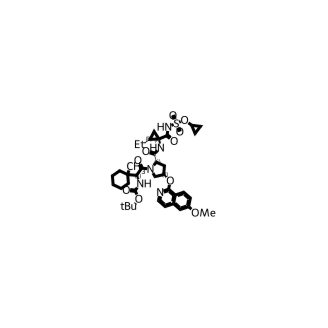 CC[C@@H]1C[C@]1(NC(=O)[C@@H]1C[C@@H](Oc2nccc3cc(OC)ccc23)CN1C(=O)[C@@H](NC(=O)OC(C)(C)C)C1(C)CCCCC1)C(=O)NS(=O)(=O)OC1CC1